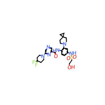 O=C(Nc1ccc(NS(=O)(=O)CCO)cc1N1CCC2(CC1)CC2)c1cncc(N2CCC(F)(F)CC2)n1